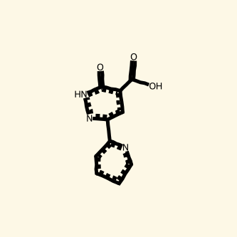 O=C(O)c1cc(-c2ccccn2)n[nH]c1=O